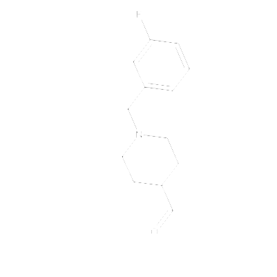 O=CC1CCN(Cc2cccc(F)c2)CC1